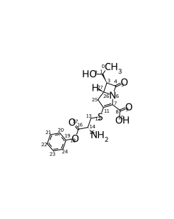 CC(O)[C@H]1C(=O)N2C(C(=O)O)=C(SC[C@H](N)C(=O)Oc3ccccc3)C[C@H]12